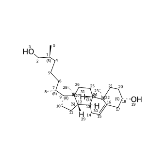 C[C@H](CO)CCC[C@@H](C)[C@H]1CC[C@H]2[C@@H]3CC=C4C[C@@H](O)CC[C@]4(C)[C@H]3CC[C@]12C